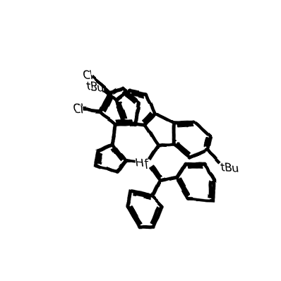 CC(C)(C)c1ccc2c(c1)[CH]([Hf]([C]1=C(c3cccc(Cl)c3Cl)C=CC1)=[C](c1ccccc1)c1ccccc1)c1cc(C(C)(C)C)ccc1-2